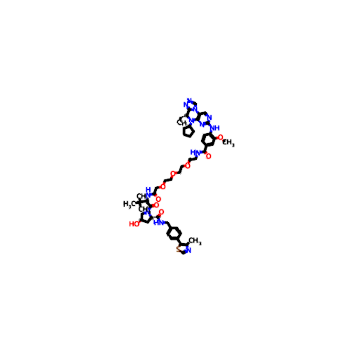 CC[C@@H]1c2nncn2-c2cnc(Nc3ccc(C(=O)NCCOCCOCCOCC(=O)N[C@H](C(=O)N4C[C@H](O)C[C@H]4C(=O)NCc4ccc(-c5scnc5C)cc4)C(C)(C)C)cc3OC)nc2N1C1CCCC1